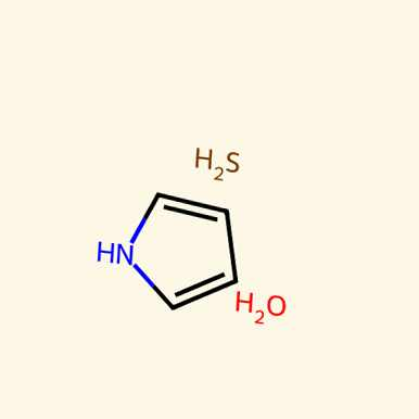 O.S.c1cc[nH]c1